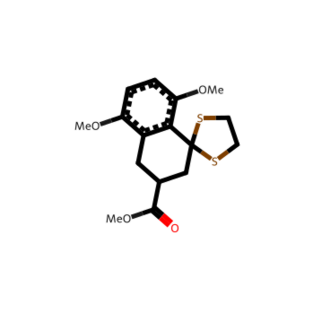 COC(=O)C1Cc2c(OC)ccc(OC)c2C2(C1)SCCS2